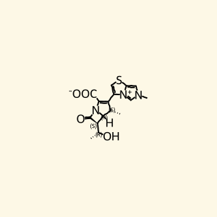 C[C@@H](O)[C@H]1C(=O)N2C(C(=O)[O-])=C(c3csc4cn(C)c[n+]34)[C@H](C)[C@H]12